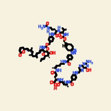 C/C=C/C1OC([C@@H](/C=C/C=C(\C)C[C@@H](C)/C=C(C)\C=C\C2CC=CC(=O)O2)NC(=O)OCc2ccc(NC(=O)[C@H](CCCNC(N)=O)NC(=O)[C@@H](NC(=O)OC[C@@H]3C4CCc5nnn(-c6ccc(C(=O)NCCCC[C@@H](C)NC(=O)CC[C@H](NC(=O)CC[C@@H](C)NC(=O)c7ccc(NCc8cnc9nc(N)nc(O)c9n8)cc7)C(=O)O)cc6)c5CC[C@@H]43)C(C)C)cc2)C[C@@H](O)[C@@H]1C